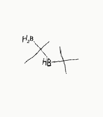 BC(C)(C)BC(C)(C)C